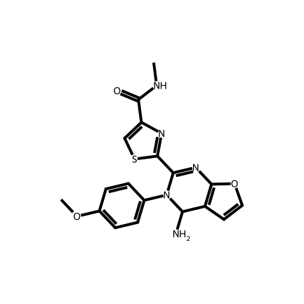 CNC(=O)c1csc(C2=Nc3occc3C(N)N2c2ccc(OC)cc2)n1